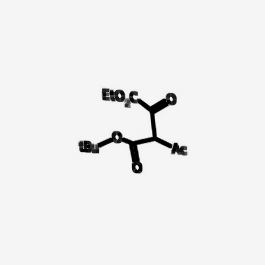 CCOC(=O)C(=O)C(C(C)=O)C(=O)OC(C)(C)C